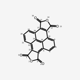 O=c1oc(=O)c2c3cccc4c5c(=O)oc(=O)c5c5cccc(c12)c5c34